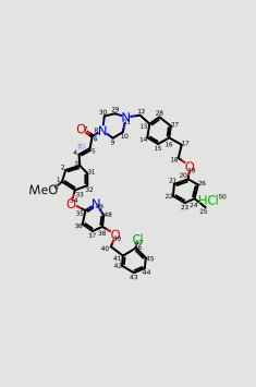 COc1cc(/C=C/C(=O)N2CCN(Cc3ccc(CCOc4cccc(C)c4)cc3)CC2)ccc1Oc1ccc(OCc2ccccc2Cl)cn1.Cl